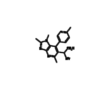 CCCC(C(=O)O)c1c(C)nc2nc(C)n(C)c2c1-c1ccc(C)cc1